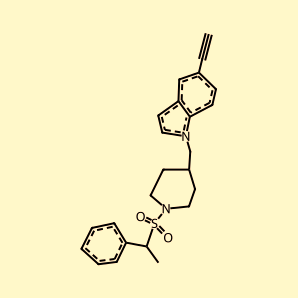 C#Cc1ccc2c(ccn2CC2CCN(S(=O)(=O)C(C)c3ccccc3)CC2)c1